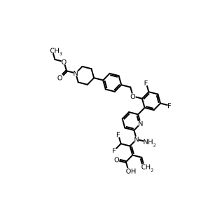 C=C/C(C(=O)O)=C(/C(F)F)N(N)c1cccc(-c2cc(F)cc(F)c2OCc2ccc(C3CCN(C(=O)OCC)CC3)cc2)n1